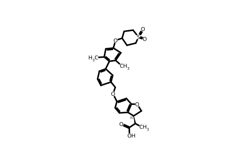 Cc1cc(OC2CCS(=O)(=O)CC2)cc(C)c1-c1cccc(COc2ccc3c(c2)OC[C@H]3C(C)C(=O)O)c1